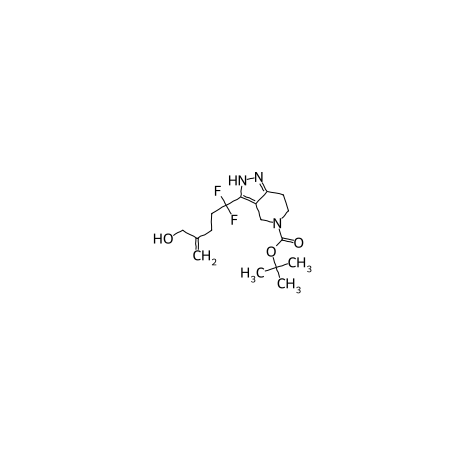 C=C(CO)CCC(F)(F)c1[nH]nc2c1CN(C(=O)OC(C)(C)C)CC2